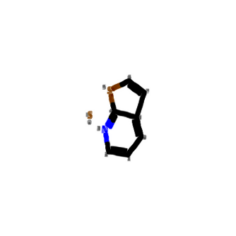 [S].c1cnc2sccc2c1